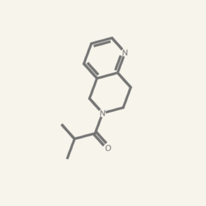 CC(C)C(=O)N1CCc2ncccc2C1